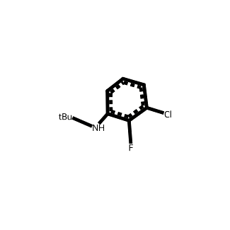 CC(C)(C)Nc1cccc(Cl)c1F